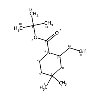 CC1(C)CCN(C(=O)OC(C)(C)C)C(CO)C1